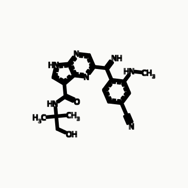 CNc1cc(C#N)ccc1C(=N)c1cnc2[nH]cc(C(=O)NC(C)(C)CO)c2n1